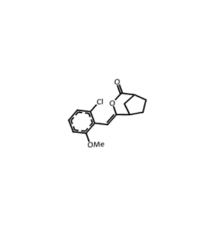 COc1cccc(Cl)c1C=C1OC(=O)C2CCC1C2